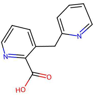 O=C(O)c1ncccc1Cc1ccccn1